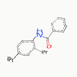 CC(C)c1ccc(NC(=O)c2ccccc2)c(C(C)C)c1